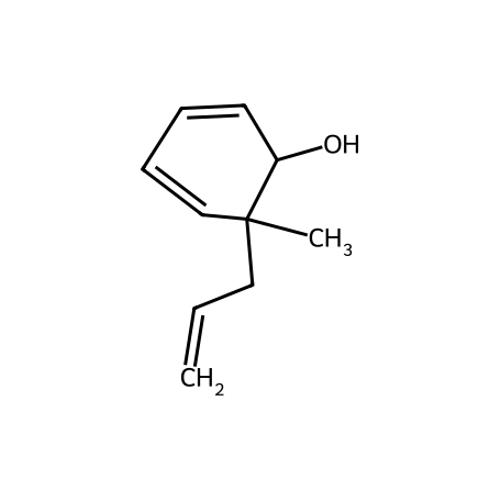 C=CCC1(C)C=CC=CC1O